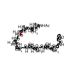 CC(=O)Nc1cn(C)c(C(=O)Nc2cn(C)c(C(=O)Nc3cc(C(=O)Nc4cc(C(=O)NCCC(=O)Nc5cc(C(=O)Nc6cc(C(=O)NCCCC(=O)Nc7cn(C)c(C(=O)Nc8cc(C(=O)NCCC(=O)Nc9cn(C)c(C(=O)Nc%10cc(C(=O)Nc%11ccc%12[nH]c(C(=O)N%13CC%14CC%14%15C%13=CC(=O)c%13ccccc%13%15)cc%12c%11)n(C)c%10)n9)n(C)c8)n7)n(C)c6)n(C)c5)n(C)c4)n(C)c3)n2)n1